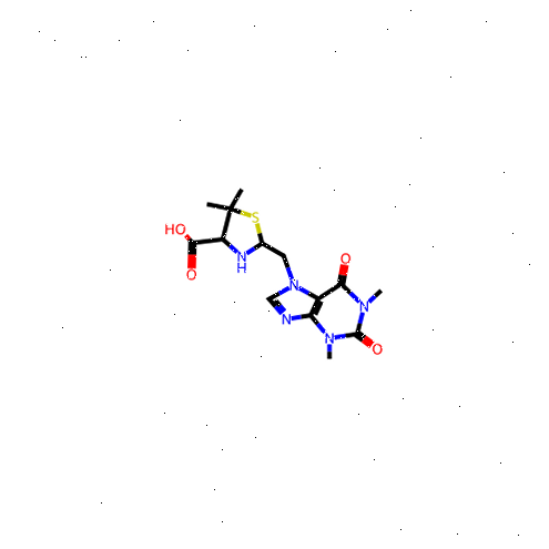 Cn1c(=O)c2c(ncn2CC2NC(C(=O)O)C(C)(C)S2)n(C)c1=O